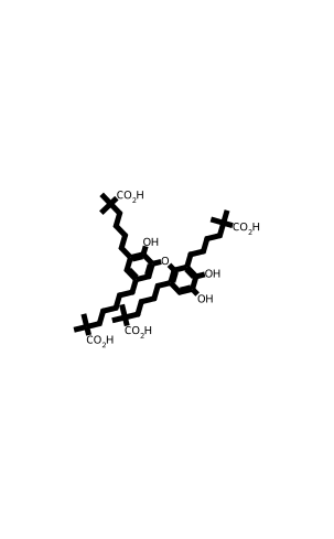 CC(C)(CCCCCc1cc(CCCCC(C)(C)C(=O)O)c(O)c(Oc2c(CCCCC(C)(C)C(=O)O)cc(O)c(O)c2CCCCC(C)(C)C(=O)O)c1)C(=O)O